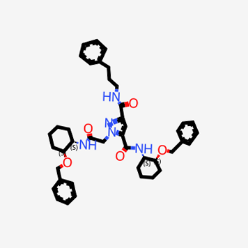 O=C(Cn1nc(C(=O)NCCCc2ccccc2)cc1C(=O)N[C@H]1CCCC[C@@H]1OCc1ccccc1)N[C@H]1CCCC[C@@H]1OCc1ccccc1